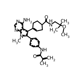 C=C(C)C(=O)Nc1ccc(-c2c(C3=CCC(C(=O)NCC(C)(C)OC)CC3)c3c(N)ncnc3n2C)cc1